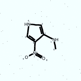 CNc1c[nH]cc1[N+](=O)[O-]